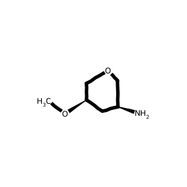 CO[C@H]1COC[C@@H](N)C1